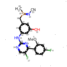 COc1cc(F)ccc1-c1nc(Nc2cc(O)cc(CS(C)=NC#N)c2)ncc1F